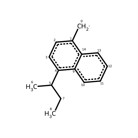 [CH2]c1ccc(C(C)CC)c2ccccc12